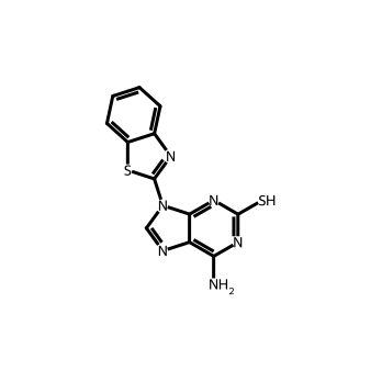 Nc1nc(S)nc2c1ncn2-c1nc2ccccc2s1